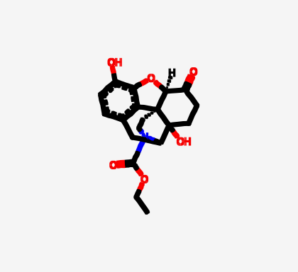 CCOC(=O)N1CC[C@]23c4c5ccc(O)c4O[C@H]2C(=O)CCC3(O)C1C5